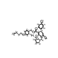 CC1=C(C(=O)OCc2ccc(OCCCI)cc2)[C@H](c2ccc(Cl)cc2)CC(=O)N1C[C@H]1CCCO1